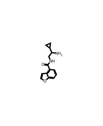 NC(CNC(=O)c1cccc2occc12)C1CC1